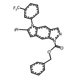 CC(C)c1cc2cc3c(cnn3C(=O)OCc3ccccc3)cc2n1-c1cccc(C(F)(F)F)c1